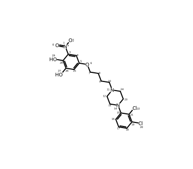 O=[N+]([O-])c1cc(OCCCCN2CCN(c3cccc(Cl)c3Cl)CC2)cc(O)c1O